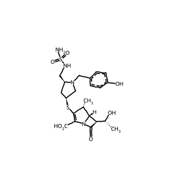 C[C@@H](O)[C@H]1C(=O)N2C(C(=O)O)=C(S[C@H]3C[C@@H](CNS(N)(=O)=O)N(Cc4ccc(O)cc4)C3)[C@H](C)[C@H]12